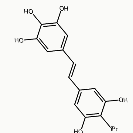 CC(C)c1c(O)cc(/C=C/c2cc(O)c(O)c(O)c2)cc1O